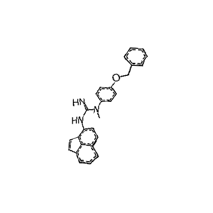 CN(C(=N)Nc1ccc2cccc3c2c1C=C3)c1ccc(OCc2ccccc2)cc1